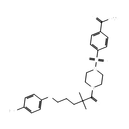 COC(=O)c1ccc(S(=O)(=O)N2CCN(C(=O)C(C)(C)CCCOc3ccc(C(F)(F)F)cc3)CC2)cc1